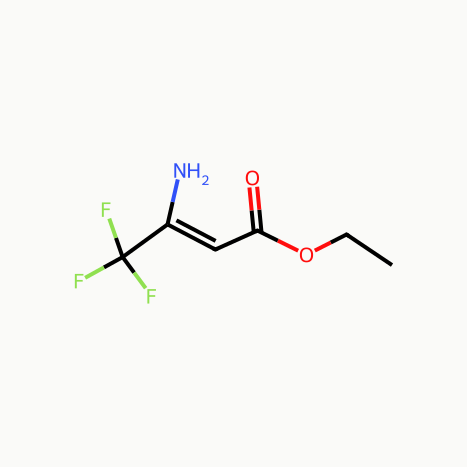 CCOC(=O)/C=C(\N)C(F)(F)F